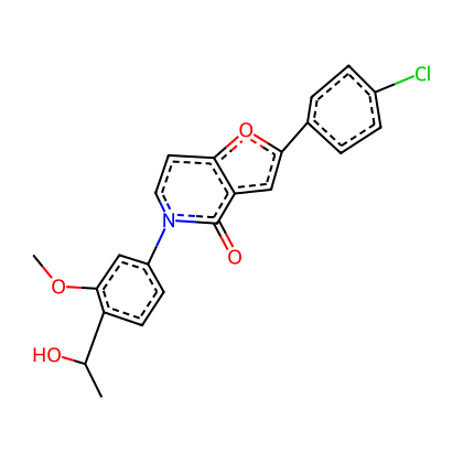 COc1cc(-n2ccc3oc(-c4ccc(Cl)cc4)cc3c2=O)ccc1C(C)O